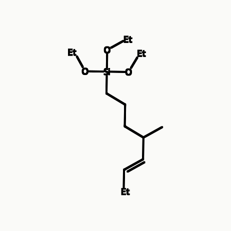 CCC=CC(C)CCC[Si](OCC)(OCC)OCC